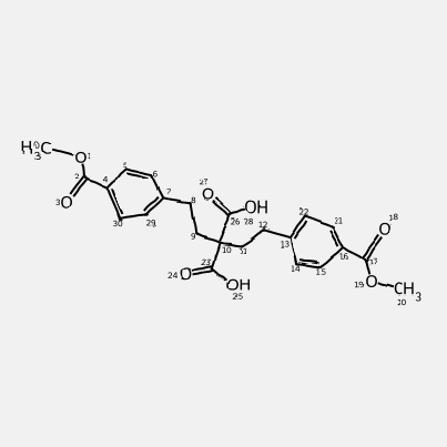 COC(=O)c1ccc(CCC(CCc2ccc(C(=O)OC)cc2)(C(=O)O)C(=O)O)cc1